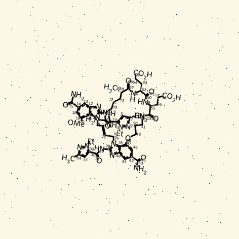 CCn1nc(C)cc1C(=O)Nc1nc2cc(C(N)=O)cc(OC)c2n1C/C=C/Cn1c(NC(=O)c2cc(C)nn2CC)nc2cc(C(N)=O)cc(OCCCNC(=O)[C@H](CCC(=O)O)NC(=O)[C@H](CCC(=O)O)NC(=O)[C@@H](C)CCCNC(=N)N)c21